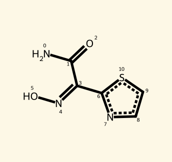 NC(=O)C(=NO)c1nccs1